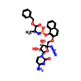 C[C@H](/N=[P+](\[O-])Oc1c(OC[C@@]2(N=[N+]=[N-])O[C@@H](n3ccc(N)nc3=O)[C@H](O)[C@@H]2O)ccc2ccccc12)C(=O)OCc1ccccc1